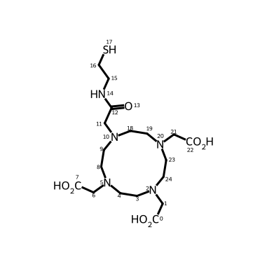 O=C(O)CN1CCN(CC(=O)O)CCN(CC(=O)NCCS)CCN(CC(=O)O)CC1